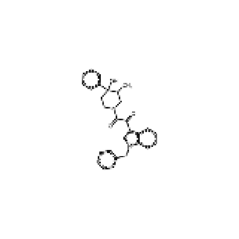 CC1CN(C(=O)C(=O)c2cn(Cc3ccccc3)c3ccccc23)CCC1(O)c1ccccc1